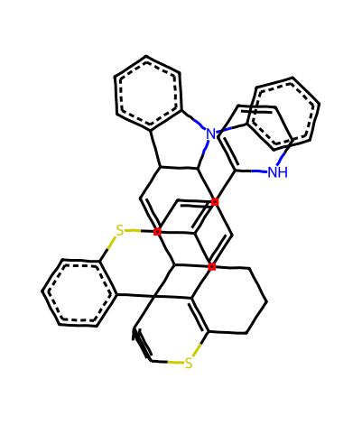 C1=CCNC(C2=CC3Sc4ccccc4C4(C5=CC=CCC5SC5=C4C(C4=CC6C(C=C4)c4ccccc4N6c4ccccc4)CCC5)C3C=C2)=C1